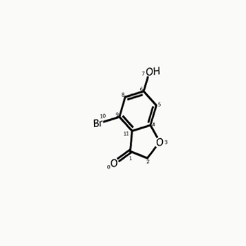 O=C1COc2cc(O)cc(Br)c21